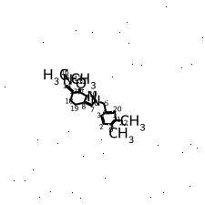 Cc1ccc(Cn2cc3c(n2)C(=O)C(=CN(C)C)CC3)cc1C